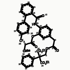 CCOC(=O)C(COC(=O)Cc1ccc(NC(=O)c2ccccc2-c2ccc(C(F)(F)F)cc2)c(OC(=O)COC)c1)(C(=O)OCC)c1ccccc1